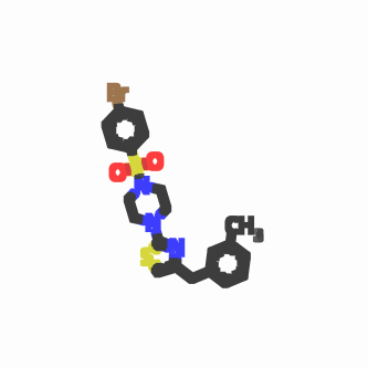 Cc1cccc(Cc2csc(N3CCN(S(=O)(=O)c4ccc(Br)cc4)CC3)n2)c1